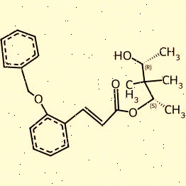 C[C@H](OC(=O)C=Cc1ccccc1OCc1ccccc1)C(C)(C)[C@@H](C)O